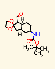 CC(C)(C)OC(=O)NC1CC[C@@H]2[C@@H](C1)CC1(OCCO1)[C@H]2C=O